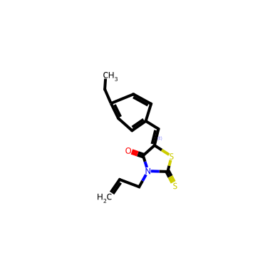 C=CCN1C(=O)/C(=C\c2ccc(CC)cc2)SC1=S